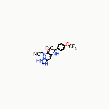 N#CCNC(=O)[C@H](Cc1nc[nH]n1)N[C@@H](c1ccc(OC(F)(F)F)cc1)C(F)(F)F